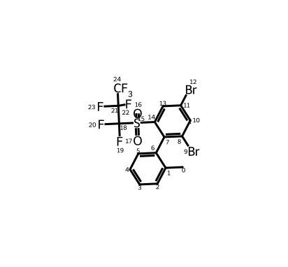 Cc1ccccc1-c1c(Br)[c]c(Br)cc1S(=O)(=O)C(F)(F)C(F)(F)C(F)(F)F